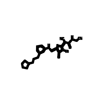 CCn1c(=C(C#N)C(=O)NCC#N)sc(=CNc2cccc(CCCN3CCCC3)c2)c1=O